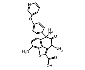 Nc1ccc2c3c(c(C(=O)O)sc13)C(N)C(=O)C2(N)c1ccc(Oc2cccnc2)cc1